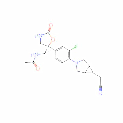 CC(=O)NC[C@@]1(c2ccc(N3CC4C(CC#N)C4C3)c(F)c2)CNC(=O)O1